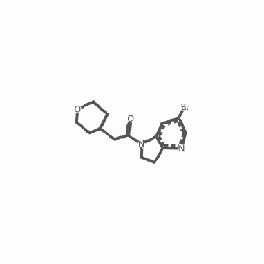 O=C(CC1CCOCC1)N1CCc2ncc(Br)cc21